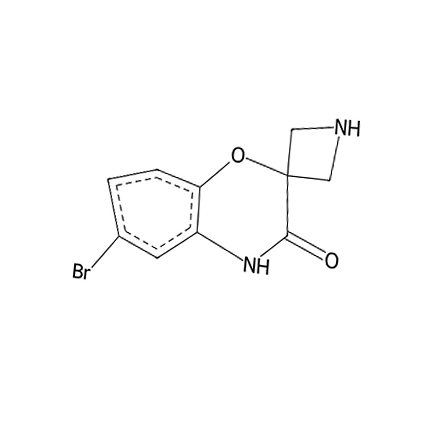 O=C1Nc2cc(Br)ccc2OC12CNC2